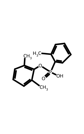 Cc1ccccc1P(=O)(O)Oc1c(C)cccc1C